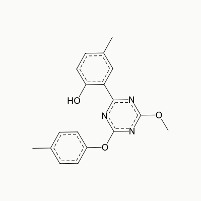 COc1nc(Oc2ccc(C)cc2)nc(-c2cc(C)ccc2O)n1